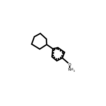 NOc1ccc(C2CCCCC2)cc1